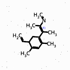 C=CC1CC(/C(C)=C(\C)N=C)=C(C)C=C1C